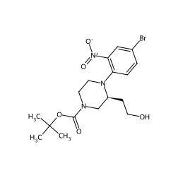 CC(C)(C)OC(=O)N1CCN(c2ccc(Br)cc2[N+](=O)[O-])[C@@H](CCO)C1